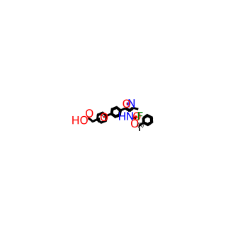 Cc1noc(-c2ccc(C34CCC(CC(=O)O)(CC3)CO4)cc2)c1NC(=O)O[C@H](C)c1ccccc1F